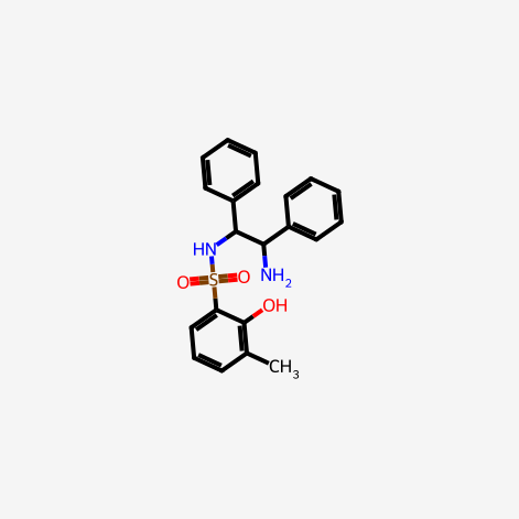 Cc1cccc(S(=O)(=O)NC(c2ccccc2)C(N)c2ccccc2)c1O